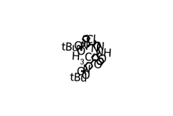 Cc1cc(Nc2ncc(Cl)c(-c3cn(C(=O)OC(C)(C)C)c4ccccc34)n2)c2c(c1C1CCN(C(=O)OC(C)(C)C)CC1)OCCO2